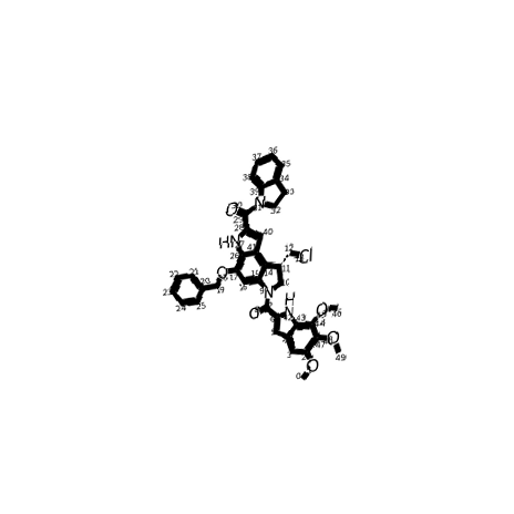 COc1cc2cc(C(=O)N3C[C@@H](CCl)c4c3cc(OCc3ccccc3)c3[nH]c(C(=O)N5CCc6ccccc65)cc43)[nH]c2c(OC)c1OC